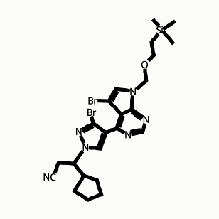 C[Si](C)(C)CCOCn1cc(Br)c2c(-c3cn(C(CC#N)C4CCCC4)nc3Br)ncnc21